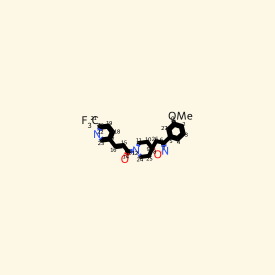 COc1cccc(C2=NOC3(CCN(C(=O)C=Cc4ccc(C(F)(F)F)nc4)CC3)C2)c1